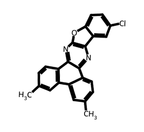 Cc1ccc2c(c1)c1cc(C)ccc1c1nc3c(nc21)oc1ccc(Cl)cc13